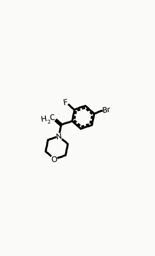 C=C(c1ccc(Br)cc1F)N1CCOCC1